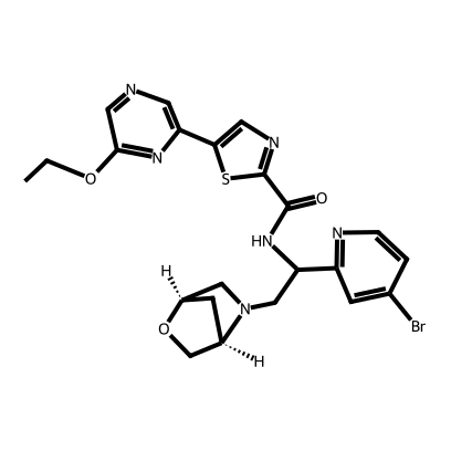 CCOc1cncc(-c2cnc(C(=O)NC(CN3C[C@H]4C[C@@H]3CO4)c3cc(Br)ccn3)s2)n1